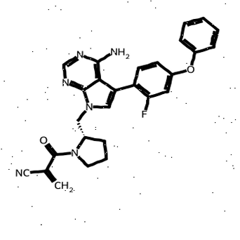 C=C(C#N)C(=O)N1CCC[C@H]1Cn1cc(-c2ccc(Oc3ccccc3)cc2F)c2c(N)ncnc21